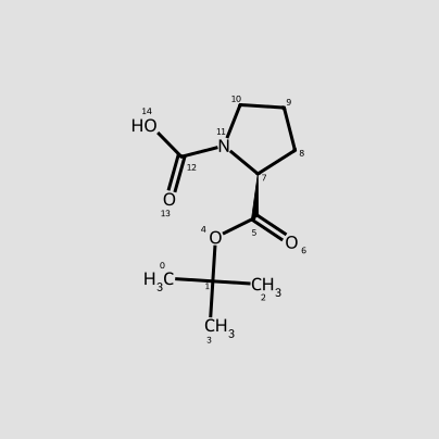 CC(C)(C)OC(=O)[C@@H]1CCCN1C(=O)O